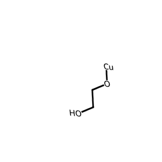 OCC[O][Cu]